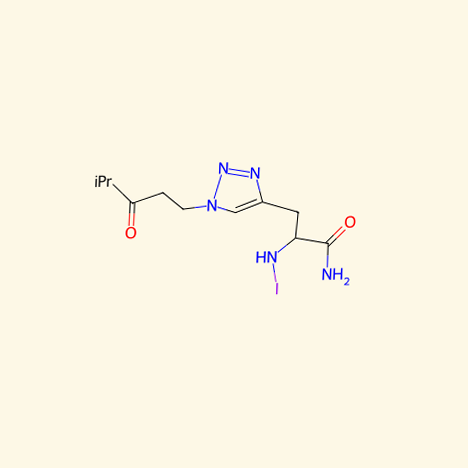 CC(C)C(=O)CCn1cc(CC(NI)C(N)=O)nn1